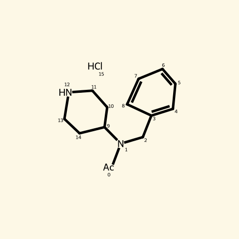 CC(=O)N(Cc1ccccc1)C1CCNCC1.Cl